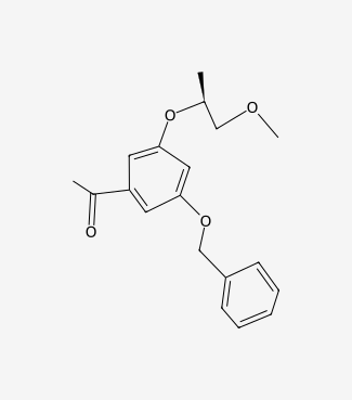 COC[C@H](C)Oc1cc(OCc2ccccc2)cc(C(C)=O)c1